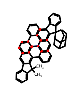 CC1(C)c2ccccc2-c2cccc(-c3ccccc3N(c3ccc4c(c3)C3(c5ccccc5-4)C4CC5CC(C4)CC3C5)c3ccccc3-c3ccccc3-c3ccccc3-c3ccccc3)c21